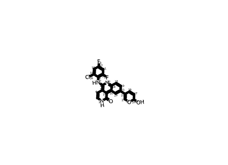 O=c1[nH]ccc2c(Nc3c(F)cc(F)cc3Cl)nc3ccc(C4=COC(O)C=C4)cc3c12